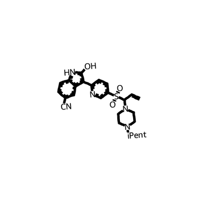 C=CC(N1CCN(C(C)CCC)CC1)S(=O)(=O)c1ccc(-c2c(O)[nH]c3ccc(C#N)cc23)nc1